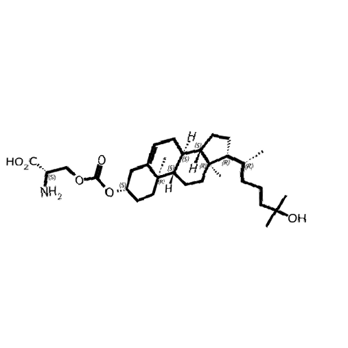 C[C@H](CCCC(C)(C)O)[C@H]1CC[C@H]2[C@@H]3CC=C4C[C@@H](OC(=O)OC[C@H](N)C(=O)O)CC[C@]4(C)[C@H]3CC[C@]12C